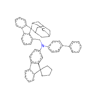 c1ccc(-c2ccc(N(Cc3cccc4c3C3(c5ccccc5-4)C4CCC5CC(C4)CC3C5)c3ccc4c(c3)C3(CCCC3)c3ccccc3-4)cc2)cc1